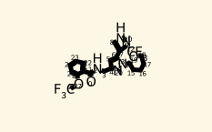 O=C(NCc1cc(-c2c[nH]nc2C(F)(F)F)n(C2CCCCO2)n1)c1ccccc1OC(F)(F)F